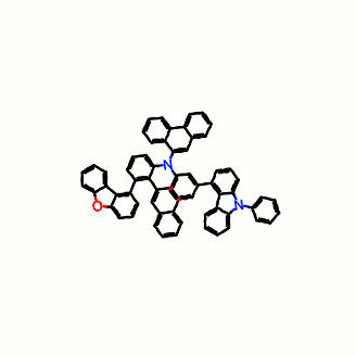 c1ccc(-n2c3ccccc3c3c(-c4cccc(N(c5cccc(-c6cccc7oc8ccccc8c67)c5-c5ccc6ccccc6c5)c5cc6ccccc6c6ccccc56)c4)cccc32)cc1